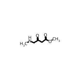 CNCC(=O)CC(=O)OC